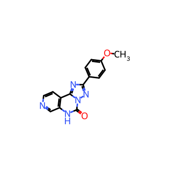 COc1ccc(-c2nc3c4ccncc4[nH]c(=O)n3n2)cc1